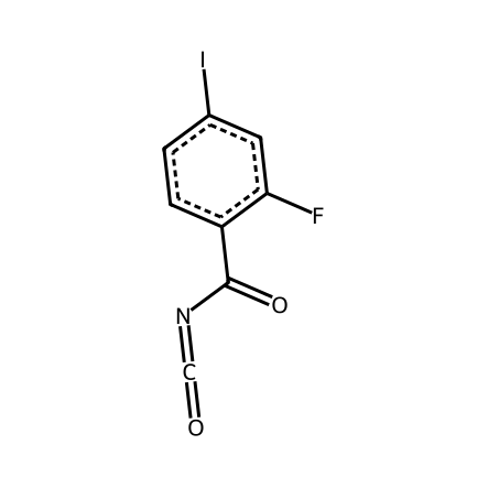 O=C=NC(=O)c1ccc(I)cc1F